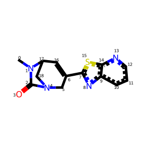 CN1C(=O)N2CC(c3nc4cccnc4s3)=CC1C2